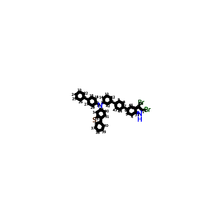 Brc1[nH]c2ccc(-c3ccc(-c4cccc(N(c5ccc(-c6ccccc6)cc5)c5ccc6c(c5)sc5ccccc56)c4)cc3)cc2c1Br